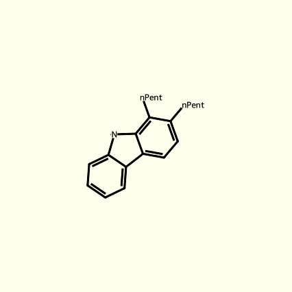 CCCCCc1ccc2c(c1CCCCC)[N]c1ccccc1-2